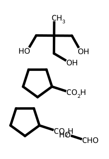 CC(CO)(CO)CO.O=C(O)C1CCCC1.O=C(O)C1CCCC1.O=CO